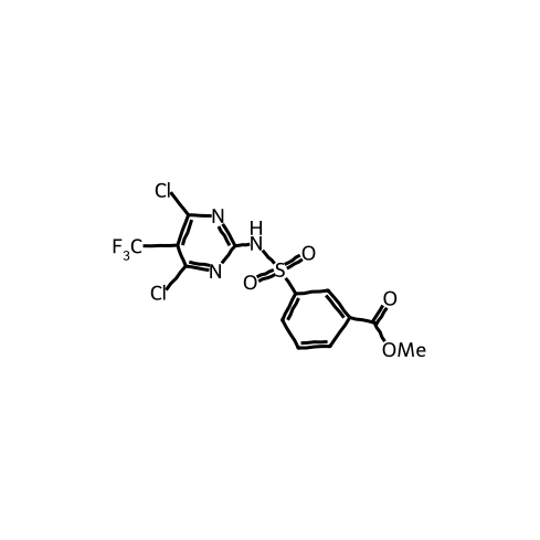 COC(=O)c1cccc(S(=O)(=O)Nc2nc(Cl)c(C(F)(F)F)c(Cl)n2)c1